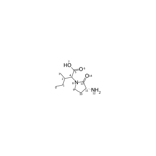 CCC(C)C(C(=O)O)N1CC[C@@H](N)C1=O